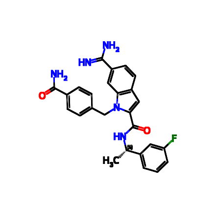 C[C@H](NC(=O)c1cc2ccc(C(=N)N)cc2n1Cc1ccc(C(N)=O)cc1)c1cccc(F)c1